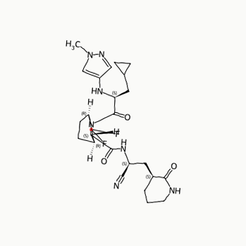 Cn1cc(N[C@@H](CC2CC2)C(=O)N2[C@@H]3CC[C@H]([C@H]2C(=O)N[C@H](C#N)C[C@@H]2CCCNC2=O)C(F)(F)C3)cn1